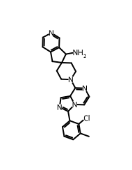 Cc1cccc(-c2ncc3c(N4CCC5(CC4)Cc4ccncc4C5N)nccn23)c1Cl